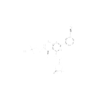 CC(C)(O)CONC(=O)c1c(N)nc(-c2cccc(C#N)c2)nc1OCC1CNC(=O)C1